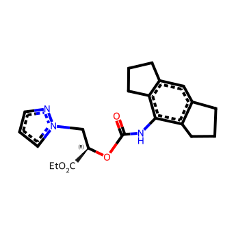 CCOC(=O)[C@@H](Cn1cccn1)OC(=O)Nc1c2c(cc3c1CCC3)CCC2